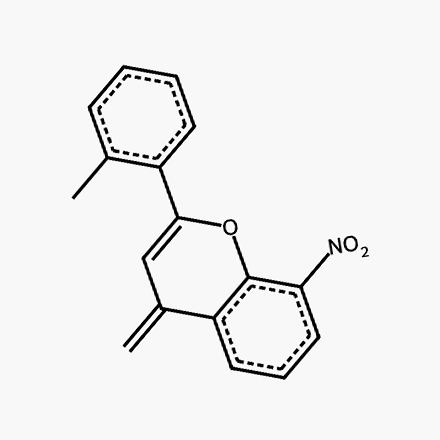 C=C1C=C(c2ccccc2C)Oc2c1cccc2[N+](=O)[O-]